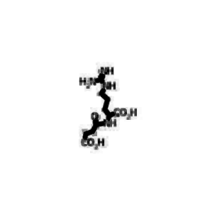 N=C(N)NCCCC(NC(=O)CCC(=O)O)C(=O)O